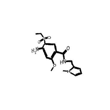 CCS(=O)(=O)c1cc(C(=O)NCc2cccn2C)c(OC)cc1N